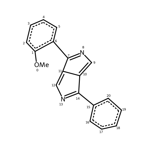 COc1ccccc1C1=NC=C2C1=CN=C2c1ccccc1